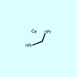 CCCCCCC.[Ce]